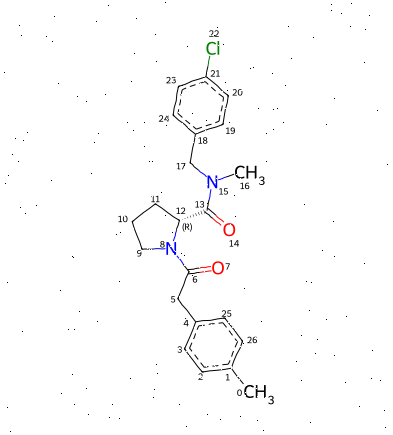 Cc1ccc(CC(=O)N2CCC[C@@H]2C(=O)N(C)Cc2ccc(Cl)cc2)cc1